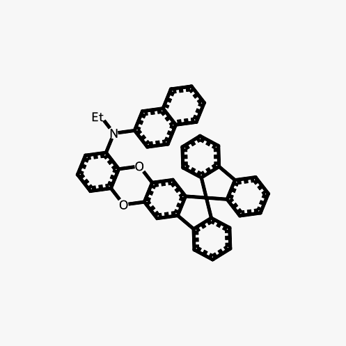 CCN(c1ccc2ccccc2c1)c1cccc2c1Oc1cc3c(cc1O2)-c1ccccc1C31c2ccccc2-c2ccccc21